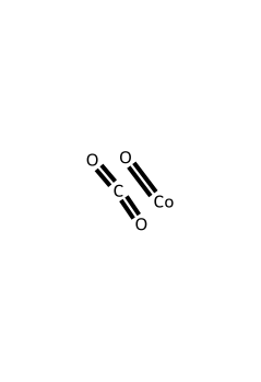 O=C=O.[O]=[Co]